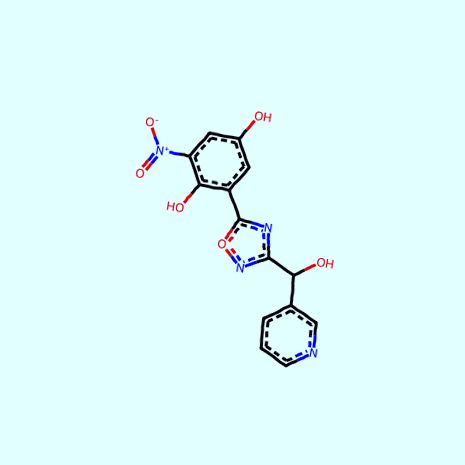 O=[N+]([O-])c1cc(O)cc(-c2nc(C(O)c3cccnc3)no2)c1O